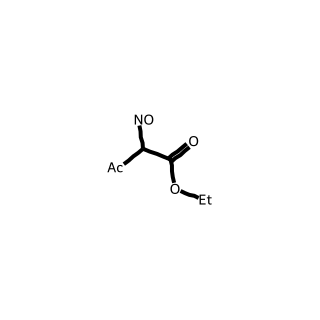 CCOC(=O)C(N=O)C(C)=O